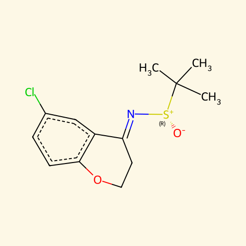 CC(C)(C)[S@+]([O-])N=C1CCOc2ccc(Cl)cc21